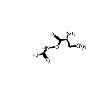 NC(=O)NOC(=O)[C@@H](N)CC(=O)O